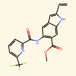 C=Cc1cc2cc(NC(=O)c3cccc(C(F)(F)F)n3)c(C(=O)OC)cc2[nH]1